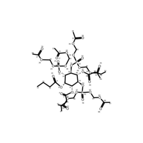 CCCC(=O)O[C@@H]1[C@H](OC(=O)CCC)[C@H](OP(=O)(OCOC(C)=O)OCOC(C)=O)[C@@H](OP(=O)(OCOC(C)=O)OCOC(C)=O)[C@H](OC(=O)CCC)[C@H]1OP(=O)(OCOC(C)=O)OCOC(C)=O